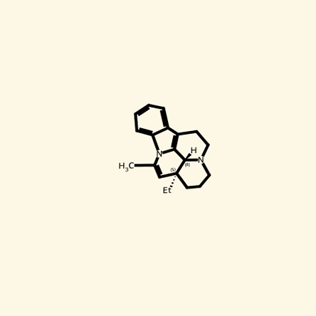 CC[C@@]12C=C(C)n3c4c(c5ccccc53)CCN(CCC1)[C@@H]42